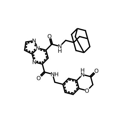 O=C1COc2ccc(CNC(=O)c3cc(C(=O)NCC45CC6CC(CC(C6)C4)C5)n4nccc4n3)cc2N1